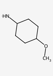 COC1CCC([NH])CC1